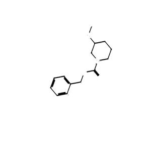 CNC1CCCN(C(=O)OCc2ccccc2)C1